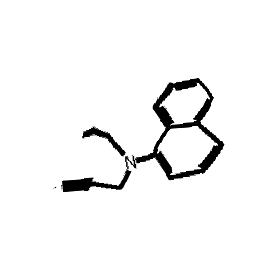 [C]#CCN(CC)c1cccc2ccccc12